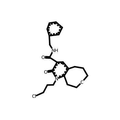 O=C(NCc1ccccc1)c1cc2c(n(CCCCl)c1=O)CCCCCC2